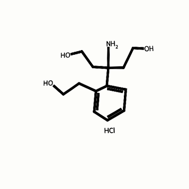 Cl.NC(CCO)(CCO)c1ccccc1CCO